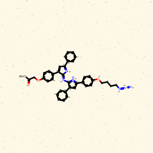 COC(=O)COc1ccc(C2=CC(c3ccccc3)=N/C2=N\c2[nH]c(-c3ccc(OCCCCN=[N+]=[N-])cc3)cc2-c2ccccc2)cc1